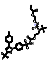 CCC(=O)OCO/N=[N+](\[O-])N(CCOC(=O)NS(=O)(=O)c1ccc(-n2nc(C(F)(F)F)cc2-c2ccc(C)cc2)cc1)C(C)(C)C